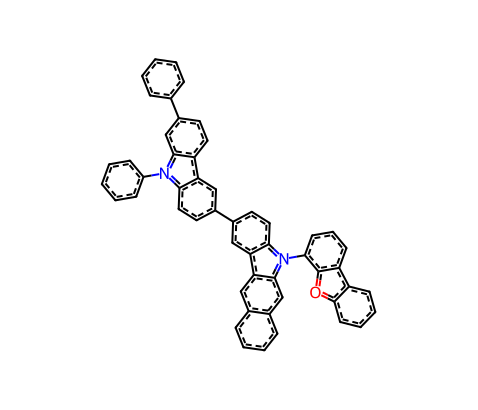 c1ccc(-c2ccc3c4cc(-c5ccc6c(c5)c5cc7ccccc7cc5n6-c5cccc6c5oc5ccccc56)ccc4n(-c4ccccc4)c3c2)cc1